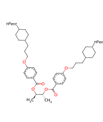 CCCCCC1CCC(CCCOc2ccc(C(=O)O[C@H](C)[C@@H](C)OC(=O)c3ccc(OCCCC4CCC(CCCCC)CC4)cc3)cc2)CC1